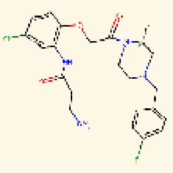 C[C@@H]1CN(Cc2ccc(F)cc2)CCN1C(=O)COc1ccc(Cl)cc1NC(=O)CCN